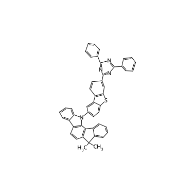 CC1(C)c2ccccc2-c2c1ccc1c3ccccc3n(-c3ccc4sc5cc(-c6nc(-c7ccccc7)nc(-c7ccccc7)n6)ccc5c4c3)c21